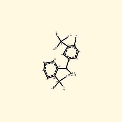 NC(c1ccc(F)c(C(F)(F)F)c1)c1ncccc1C(F)(F)F